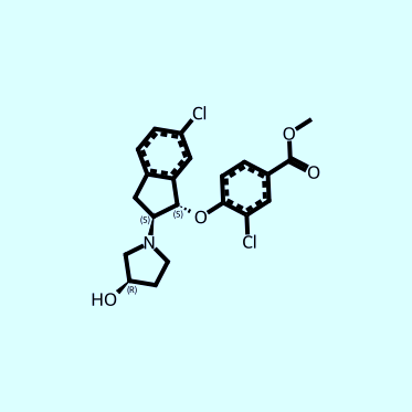 COC(=O)c1ccc(O[C@H]2c3cc(Cl)ccc3C[C@@H]2N2CC[C@@H](O)C2)c(Cl)c1